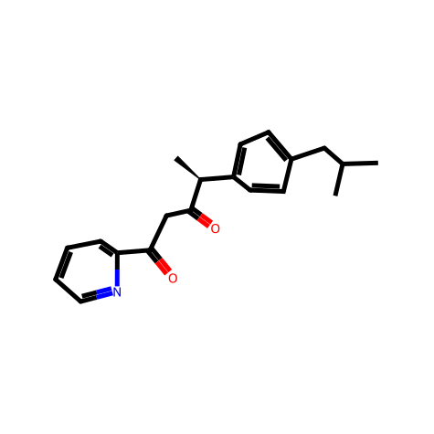 CC(C)Cc1ccc([C@H](C)C(=O)CC(=O)c2ccccn2)cc1